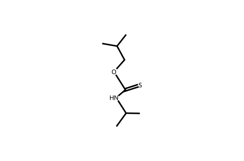 CC(C)COC(=S)NC(C)C